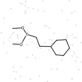 C[O][Ti]([CH2]CC1CCCCC1)[O]C